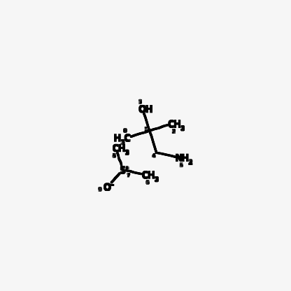 CC(C)(O)CN.C[S+](C)[O-]